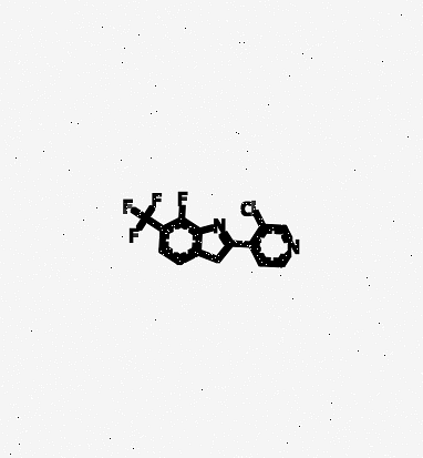 Fc1c(C(F)(F)F)ccc2c1N=C(c1ccncc1Cl)C2